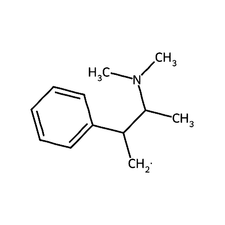 [CH2]C(c1ccccc1)C(C)N(C)C